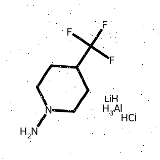 Cl.NN1CCC(C(F)(F)F)CC1.[AlH3].[LiH]